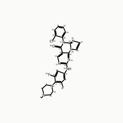 CN1CCN(c2c(F)cc(Nc3ncc4c(=O)n(-c5ccccc5Cl)c5nccn5c4n3)cc2F)CC1